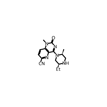 CC[C@H]1CN(c2nc(=O)n(C)c3ccc(C#N)nc23)[C@@H](C)CN1